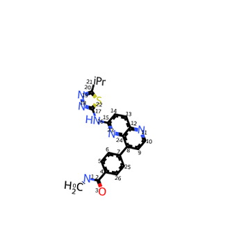 C=NC(=O)c1ccc(-c2ccnc3ccc(Nc4nnc(C(C)C)s4)nc23)cc1